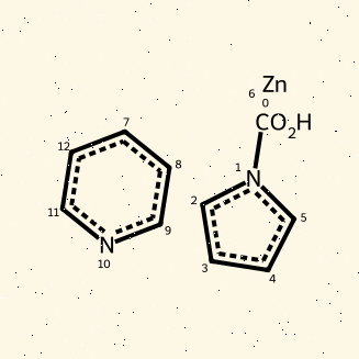 O=C(O)n1cccc1.[Zn].c1ccncc1